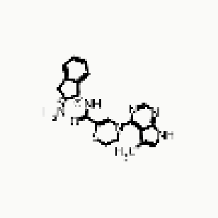 Cc1c[nH]c2ncnc(N3C=C(C(=O)N[C@H]4c5ccccc5C[C@@H]4N)SCC3)c12